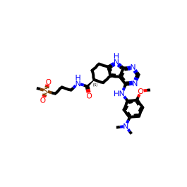 COc1ccc(N(C)C)cc1Nc1ncnc2[nH]c3c(c12)C[C@@H](C(=O)NCCCS(C)(=O)=O)CC3